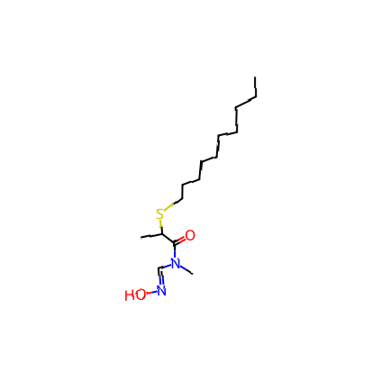 CCCCCCCCCCSC(C)C(=O)N(C)C=NO